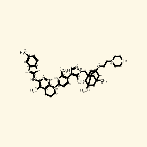 Cc1ccc2sc(Nc3nnc4c(c3C)CCCN4c3ccc(-c4cnn(CC56CC7(C)CC(C)(C5)CC(OCCN5CCOCC5)(C7)C6)c4C)c(C(=O)O)n3)nc2c1